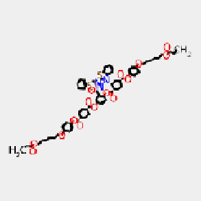 C=CC(=O)OCCCCCCOc1ccc(OC(=O)[C@H]2CC[C@H](C(=O)Oc3ccc(OC(=O)[C@H]4CC[C@H](C(=O)Oc5ccc(OCCCCCCOC(=O)C=C)cc5)CC4)c(/C=N/N(C[S+]([O-])c4ccccc4)c4nc5ccccc5s4)c3)CC2)cc1